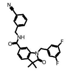 CC1(C)C(=O)N(Cc2cc(F)cc(F)c2)c2cc(C(=O)NCc3cccc(C#N)c3)ccc21